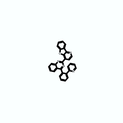 c1ccc(-c2ccccc2-c2nc(-c3ccnc4c3oc3ccccc34)nc3ccccc23)nc1